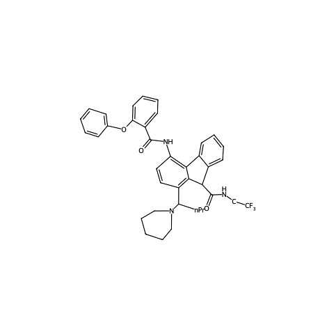 CCCC(c1ccc(NC(=O)c2ccccc2Oc2ccccc2)c2c1C(C(=O)NCC(F)(F)F)c1ccccc1-2)N1CCCCC1